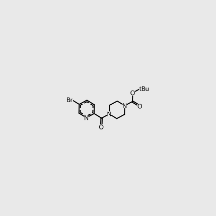 CC(C)(C)OC(=O)N1CCN(C(=O)c2ccc(Br)cn2)CC1